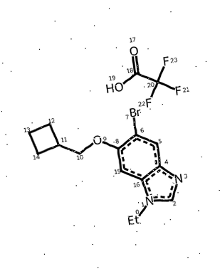 CCn1cnc2cc(Br)c(OCC3CCC3)cc21.O=C(O)C(F)(F)F